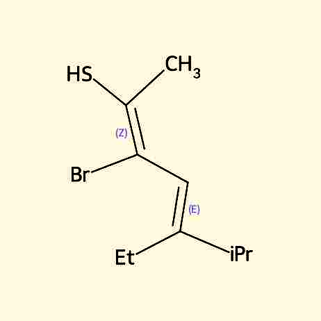 CC/C(=C\C(Br)=C(/C)S)C(C)C